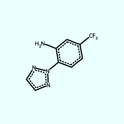 Nc1cc(C(F)(F)F)ccc1-n1nccn1